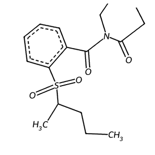 CCCC(C)S(=O)(=O)c1ccccc1C(=O)N1CCCCC1=O